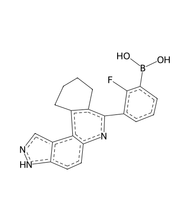 OB(O)c1cccc(-c2nc3ccc4[nH]ncc4c3c3c2CCCC3)c1F